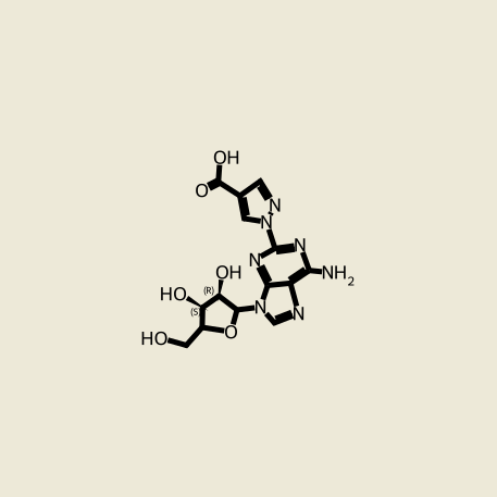 Nc1nc(-n2cc(C(=O)O)cn2)nc2c1ncn2C1OC(CO)[C@@H](O)[C@H]1O